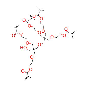 C=C(C)C(=O)OCCOCC(CO)(COCCOC(=O)C(=C)C)COCC(COCCOC(=O)C(=C)C)(COCCOC(=O)C(=C)C)COCCOC(=O)C(=C)C